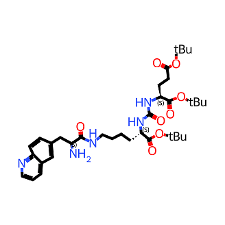 CC(C)(C)OC(=O)CC[C@H](NC(=O)N[C@@H](CCCCNC(=O)[C@@H](N)Cc1ccc2ncccc2c1)C(=O)OC(C)(C)C)C(=O)OC(C)(C)C